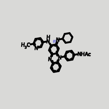 CC(=O)Nc1ccc(-n2c3c/c(=N\C4CCCCC4)c(Nc4ccc(C)nc4)cc-3nc3ccccc32)cc1